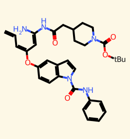 C=C/C=C(\C=C(/N)NC(=O)CC1CCN(C(=O)OC(C)(C)C)CC1)Oc1ccc2c(ccn2C(=O)Nc2ccccc2)c1